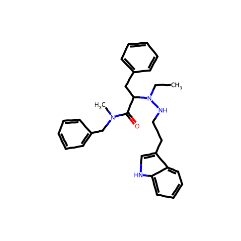 CCN(NCCc1c[nH]c2ccccc12)C(Cc1ccccc1)C(=O)N(C)Cc1ccccc1